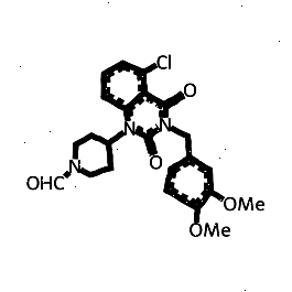 COc1ccc(Cn2c(=O)c3c(Cl)cccc3n(C3CCN(C=O)CC3)c2=O)cc1OC